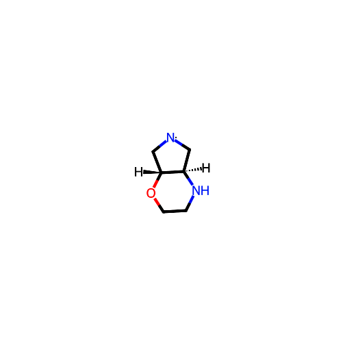 C1CO[C@@H]2C[N]C[C@H]2N1